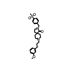 COc1cccc([CH]CCN2CCC3(CC2)CCN(Cc2ccc(S(C)(=O)=O)cc2)C3=O)c1